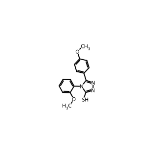 COc1ccc(-c2nnc(S)n2-c2ccccc2OC)cc1